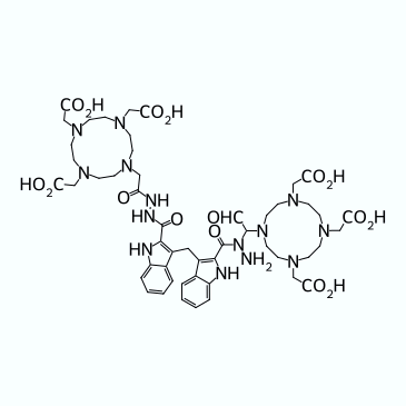 NN(C(=O)c1[nH]c2ccccc2c1Cc1c(C(=O)NNC(=O)CN2CCN(CC(=O)O)CCN(CC(=O)O)CCN(CC(=O)O)CC2)[nH]c2ccccc12)C(C=O)N1CCN(CC(=O)O)CCN(CC(=O)O)CCN(CC(=O)O)CC1